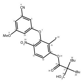 COc1cc(C#N)cc(Oc2c([N+](=O)[O-])ccc(OC(=O)C(C(=O)O)(C(C)(C)C)C(C)(C)C)c2F)c1